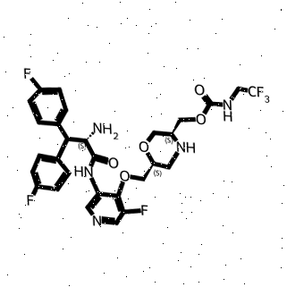 N[C@H](C(=O)Nc1cncc(F)c1OC[C@@H]1CN[C@H](COC(=O)NCC(F)(F)F)CO1)C(c1ccc(F)cc1)c1ccc(F)cc1